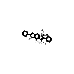 CC1=C(c2ccccc2)[Si](C)(C)c2cc3c(c(C)c21)[SiH2]C(c1ccccc1)=C3